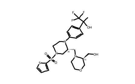 CC(O)(c1ccc(N2CCN(S(=O)(=O)c3cccs3)C[C@H]2CN2CCOC[C@@H]2CO)cc1)C(F)(F)F